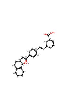 O=C(O)c1cccc(C=Cc2ccc(-c3cc4ccc5ccccc5c4o3)cc2)c1